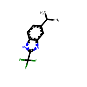 CC(C)c1[c]c2nc(C(F)(F)F)[nH]c2cc1